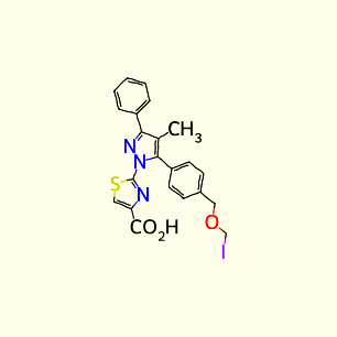 Cc1c(-c2ccccc2)nn(-c2nc(C(=O)O)cs2)c1-c1ccc(COCI)cc1